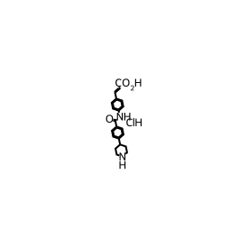 Cl.O=C(O)C=Cc1ccc(NC(=O)c2ccc(C3CCNCC3)cc2)cc1